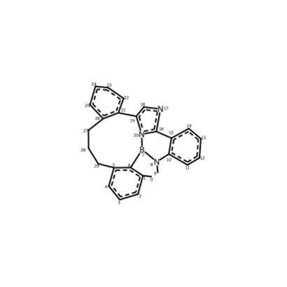 Cc1cccc2c1B1N(C)c3ccccc3-c3ncc(n31)-c1ccccc1CCC2